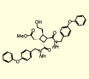 CCCN(Cc1ccc(Oc2ccccc2)cc1)C(=O)[C@@H]1[C@H](CCO)[C@@H](CC(=O)OC)[C@H]1C(=O)N(CCC)Cc1ccc(Oc2ccccc2)cc1